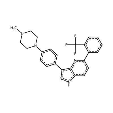 CN1CCN(c2ccc(-c3n[nH]c4ccc(-c5ccccc5C(F)(F)F)nc34)cc2)CC1